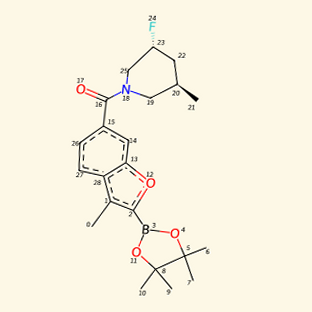 Cc1c(B2OC(C)(C)C(C)(C)O2)oc2cc(C(=O)N3C[C@H](C)C[C@@H](F)C3)ccc12